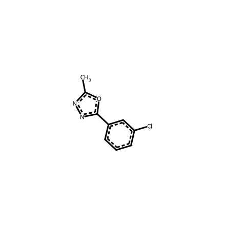 Cc1nnc(-c2cc[c]c(Cl)c2)o1